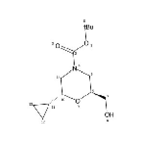 CC(C)(C)OC(=O)N1C[C@@H](CO)O[C@H](C2CC2)C1